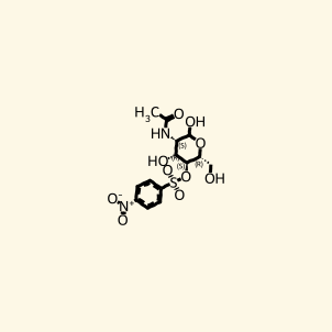 CC(=O)N[C@@H]1C(O)O[C@H](CO)[C@@H](OS(=O)(=O)c2ccc([N+](=O)[O-])cc2)[C@@H]1O